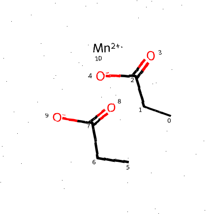 CCC(=O)[O-].CCC(=O)[O-].[Mn+2]